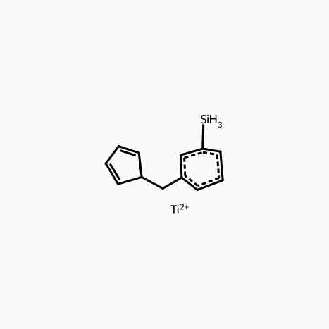 [SiH3]c1cccc(CC2C=CC=C2)c1.[Ti+2]